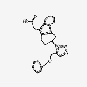 O=C(O)Cc1c2c(n3ccccc13)CC(n1nncc1COc1ccccc1)CC2